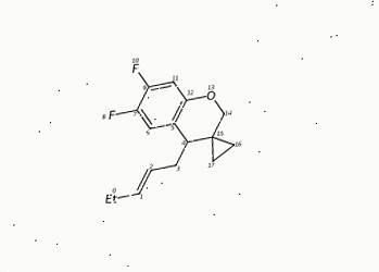 CCC=CCC1c2cc(F)c(F)cc2OCC12CC2